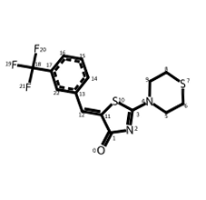 O=C1N=C(N2CCSCC2)SC1=Cc1cccc(C(F)(F)F)c1